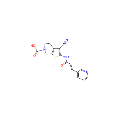 N#Cc1c(NC(=O)C=Cc2cccnc2)sc2c1CCN(C(=O)O)C2